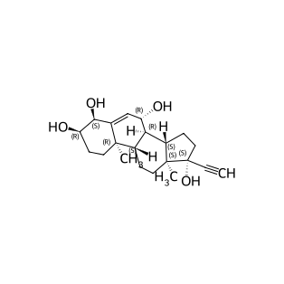 C#C[C@]1(O)CC[C@H]2[C@@H]3[C@@H](O)C=C4[C@H](O)[C@H](O)CC[C@]4(C)[C@H]3CC[C@@]21C